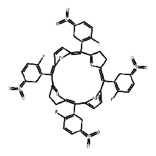 O=S(=O)=C1C=CC(F)=C(c2c3nc(c(C4=C(F)C=CC(=S(=O)=O)C4)c4ccc([nH]4)c(C4=C(F)C=CC(=S(=O)=O)C4)c4nc(c(C5=C(F)C=CC(=S(=O)=O)C5)c5ccc2[nH]5)CC4)CC3)C1